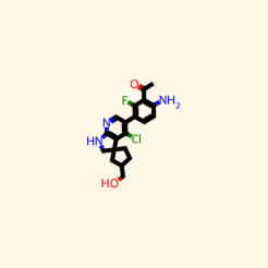 CC(=O)c1c(N)ccc(-c2cnc3c(c2Cl)C2(CCC(CO)C2)CN3)c1F